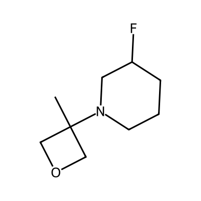 CC1(N2CCCC(F)C2)COC1